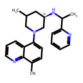 CC1C[C@@H](NC(C)c2ccccn2)CN(c2ccc(C#N)c3ncccc23)C1